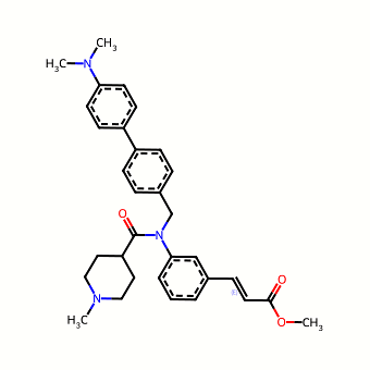 COC(=O)/C=C/c1cccc(N(Cc2ccc(-c3ccc(N(C)C)cc3)cc2)C(=O)C2CCN(C)CC2)c1